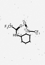 O=C(NC1CCCCC1)NC(F)(F)F.O=C=NC(F)(F)F